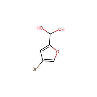 OC(O)c1cc(Br)co1